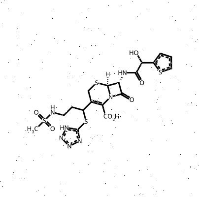 CS(=O)(=O)NCCC(Sc1nnn[nH]1)C1=C(C(=O)O)N2C(=O)[C@@H](NC(=O)C(O)c3cccs3)[C@@H]2SC1